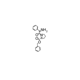 N[C@H](C(=O)N1CCC[C@@H]1C(=O)OCc1ccccc1)c1ccccc1